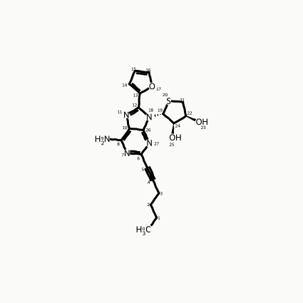 CCCCC#Cc1nc(N)c2nc(-c3ccco3)n([C@@H]3SC[C@@H](O)[C@H]3O)c2n1